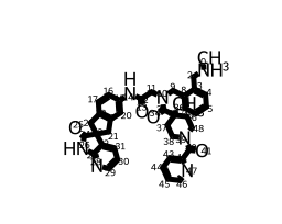 CNCc1ccccc1CN(CC(=O)Nc1ccc2c(c1)CC1(C2)C(=O)Nc2ncccc21)C(=O)C1(C)CCN(C(=O)c2ccccn2)CC1